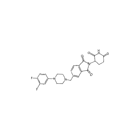 O=C1CCC(N2C(=O)c3ccc(CN4CCN(c5ccc(F)c(F)c5)CC4)cc3C2=O)C(=O)N1